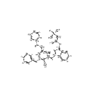 CS(=O)(=O)NC(=O)Cn1cc(C[C@H](NC(=O)OCc2ccccc2)C(=O)OCc2ccccc2)c2ccccc21